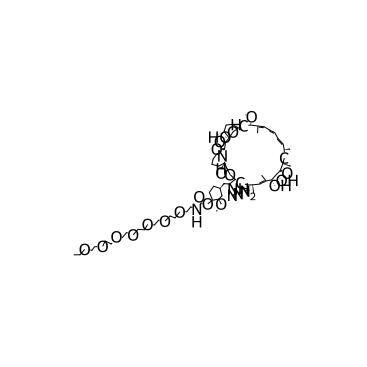 CCOCCOCCOCCOCCOCCOCCOCCNC(=O)OC1CC[C@@H](C[C@@H](N)[C@@H]2CC(N=[N+]=[N-])[C@H](C)/C=C(\C)[C@@H](O)[C@@H](O)C(=O)[C@H](C)C[C@H](C)/C=C/C=C/C=C(\C)[C@@H](OC)C[C@@H]3CC[C@@H](C)[C@@](O)(O3)C(=O)C(=O)N3CCCC[C@H]3C(=O)O2)C[C@H]1OC